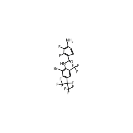 Nc1ccc(C(=O)Nc2c(Br)cc(C(F)(C(F)(F)F)C(F)(F)F)cc2C(F)(F)F)c(F)c1F